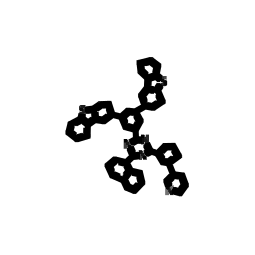 c1cncc(-c2cccc(-c3nc(-c4cc(-c5ccc6sc7ccccc7c6c5)cc(-c5ccc6sc7ccccc7c6c5)c4)nc(-c4cccc5ccccc45)n3)c2)c1